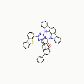 c1ccc(-c2ccc3oc4c(-n5c6ccccc6c6ccc7c8ccccc8n(-c8nc(-c9ccccc9)nc(-c9cccc%10c9sc9ccccc9%10)n8)c7c65)cccc4c3c2)cc1